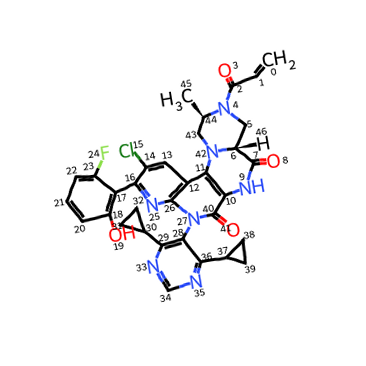 C=CC(=O)N1C[C@@H]2C(=O)Nc3c(c4cc(Cl)c(-c5c(O)cccc5F)nc4n(-c4c(C5CC5)ncnc4C4CC4)c3=O)N2C[C@H]1C